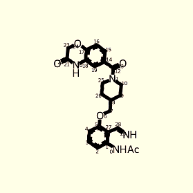 CC(=O)Nc1cccc(OCC2CCN(C(=O)c3ccc4c(c3)NC(=O)CO4)CC2)c1C=N